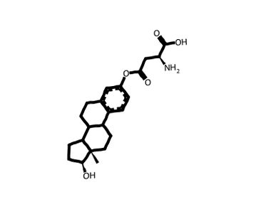 C[C@]12CCC3c4ccc(OC(=O)C[C@H](N)C(=O)O)cc4CCC3C1CC[C@@H]2O